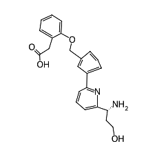 N[C@H](CCO)c1cccc(-c2cccc(COc3ccccc3CC(=O)O)c2)n1